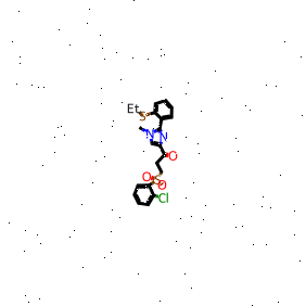 CCSc1ccccc1-c1nc(C(=O)CCS(=O)(=O)c2ccccc2Cl)cn1C